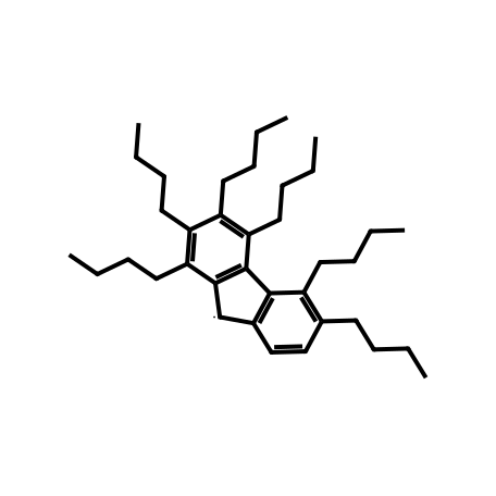 CCCCc1ccc2c(c1CCCC)-c1c(c(CCCC)c(CCCC)c(CCCC)c1CCCC)[CH]2